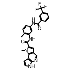 Cc1ccc(NC(=O)c2cccc(C(F)(F)F)c2)cc1NC(=O)c1cc2cnc3[nH]ccc3c2n1C